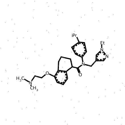 CCn1cc(CN(C(=O)C2CCCc3c(OCCN(C)C)cccc32)c2ccc(C(C)C)cc2)cn1